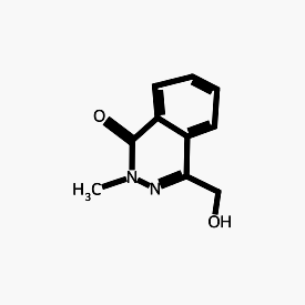 Cn1nc(CO)c2ccccc2c1=O